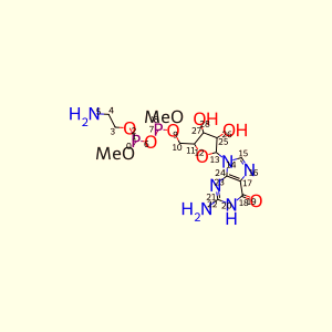 COP(OCCN)OP(OC)OCC1OC(n2cnc3c(=O)[nH]c(N)nc32)C(O)C1O